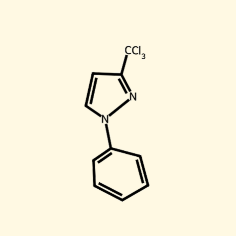 ClC(Cl)(Cl)c1ccn(-c2ccccc2)n1